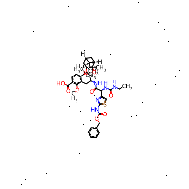 CCNC(=O)NC(C(=O)NC(Cc1c(C(C)(C)C)ccc(C(=O)O)c1OC)B1OC2C[C@H]3C[C@@H](C3(C)C)[C@]2(C)O1)c1csc(NC(=O)OCc2ccccc2)n1